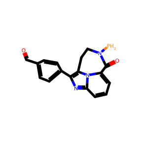 O=Cc1ccc(-c2nc3cccc4n3c2CCN(P)C4=O)cc1